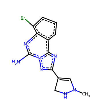 CN1C=C(c2nc3c4cccc(Br)c4nc(N)n3n2)CN1